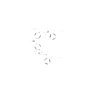 CCCCCCc1ccccc1C(=O)NCC1(OC)C=CC(C(=O)C2C=CC(CNC(=O)c3ccccc3CCCCCC)(OC)C=C2)C=C1